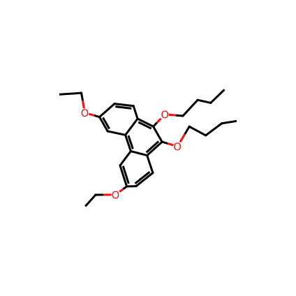 CCCCOc1c(OCCCC)c2ccc(OCC)cc2c2cc(OCC)ccc12